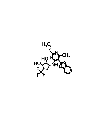 CCNc1nc(C)c(-c2nc3ccccc3s2)c(N[C@@H]2CC(C(F)(F)F)[C@@H](O)[C@H]2O)n1